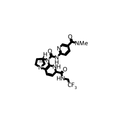 CNC(=O)c1ccc(NC(=O)N2C3=C(C=CC(C(=O)NCC(F)(F)F)N3)N3CC[C@H]2C3)nc1